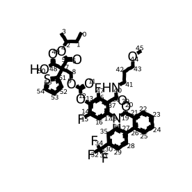 CCC(C)OC(=O)C(COC(=O)Oc1c(F)cc(NC(=O)c2ccccc2-c2ccc(C(F)(F)F)cc2)c(C(=O)NCCCOC)c1F)(C(=O)O)c1cccs1